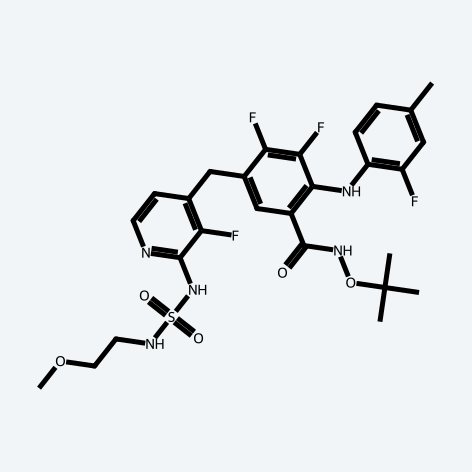 COCCNS(=O)(=O)Nc1nccc(Cc2cc(C(=O)NOC(C)(C)C)c(Nc3ccc(C)cc3F)c(F)c2F)c1F